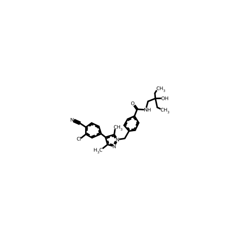 CCC(O)(CC)CNC(=O)c1ccc(Cn2nc(C)c(-c3ccc(C#N)c(Cl)c3)c2C)cc1